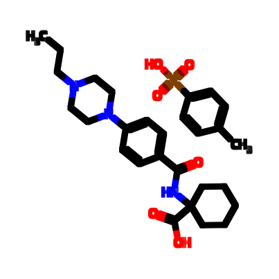 CCCN1CCN(c2ccc(C(=O)NC3(C(=O)O)CCCCC3)cc2)CC1.Cc1ccc(S(=O)(=O)O)cc1